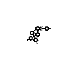 Cc1ccc(-c2nc3c(-c4cccc5c4-c4ccccc4C5(c4ccc(C)cc4)c4ccc(C)cc4)c(C)ccc3o2)cc1